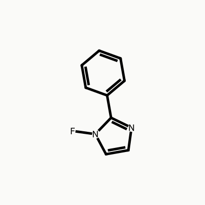 Fn1ccnc1-c1ccccc1